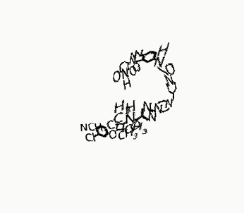 CC1(C)C(NC(=O)c2cnc(N3CCN(CC4CCN(C(=O)CNc5ccc6nnn(C7CCC(=O)NC7=O)c(=O)c6c5)CC4)CC3)nc2)C(C)(C)C1Oc1ccc(C#N)c(Cl)c1